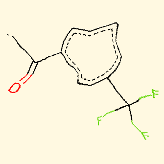 [CH2]C(=O)c1cccc(C(F)(F)F)c1